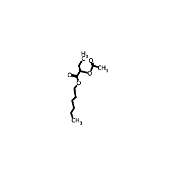 CCCCCCOC(=O)C(CC)OC(C)=O